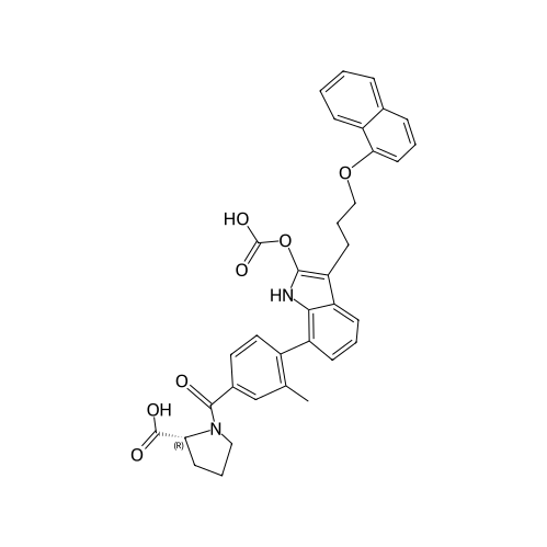 Cc1cc(C(=O)N2CCC[C@@H]2C(=O)O)ccc1-c1cccc2c(CCCOc3cccc4ccccc34)c(OC(=O)O)[nH]c12